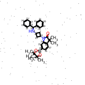 CC1(C)C(=O)N([C@H]2C[C@@H](NC(c3ccccc3)c3ccccc3)C2)c2cc(B3OC(C)(C)C(C)(C)O3)ccc21